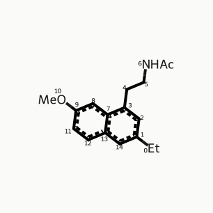 CCc1cc(CCNC(C)=O)c2cc(OC)ccc2c1